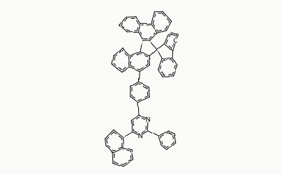 c1ccc(-c2nc(-c3ccc(-c4cc5c(c6ccccc46)-c4c(c6ccccc6c6ccccc46)C54c5ccccc5-c5ccccc54)cc3)cc(-c3cccc4ccccc34)n2)cc1